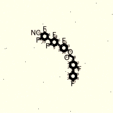 N#Cc1c(F)cc(-c2c(F)cc(-c3ccc(OC(=O)Cc4ccc(-c5ccc(F)cc5)c(F)c4)cc3F)cc2F)cc1F